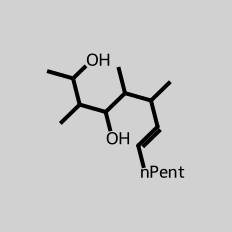 CCCCCC=CC(C)C(C)C(O)C(C)C(C)O